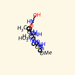 COc1ccc2sc(Nc3nnc4c(c3C)CCCN4c3ccc(/C(C=N)=C(\C)NCC4CC5(C)CC6(C)CC4CC(OCCNCCCO)(C5)C6)c(C(=O)O)n3)nc2c1